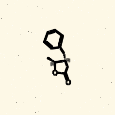 C[C@@H]1OC(=O)C[C@H]1Cc1ccccc1